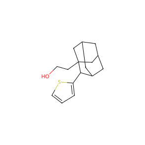 OCCC12CC3CC(CC(C3)C1c1cccs1)C2